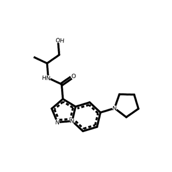 CC(CO)NC(=O)c1cnn2ccc(N3CCCC3)cc12